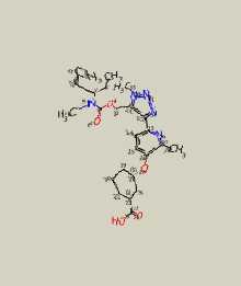 CCC(CC)N(C)C(=O)OCc1c(-c2ccc(O[C@H]3CCC[C@H](C(=O)O)C3)c(C)n2)nnn1C